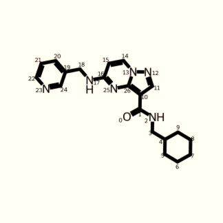 O=C(NCC1CCCCC1)c1cnn2ccc(NCc3cccnc3)nc12